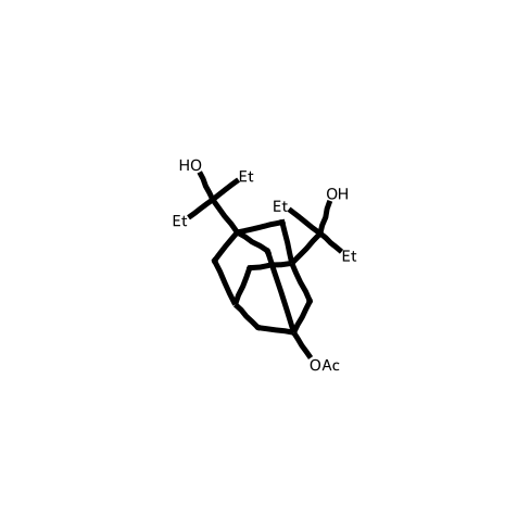 CCC(O)(CC)C12CC3CC(OC(C)=O)(C1)CC(C(O)(CC)CC)(C3)C2